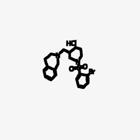 Cl.O=S(=O)(c1ccccc1Br)N1CCCC(CN2CCc3ccccc3C2)C1